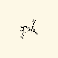 C/C=C(\C=C/CNC(=O)c1nc(C#N)cn1COCC[Si](C)(C)C)CC(=O)NCCN(C)C